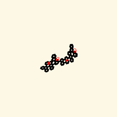 c1ccc(-c2c(-c3c4ccccc4c(-c4ccc(-c5ccc(-c6ccc(-c7c8ccccc8c(-c8cccc9oc%10c%11ccccc%11ccc%10c89)c8ccccc78)cc6)c6c(-c7ccccc7)cccc56)c5oc6c7ccccc7ccc6c45)c4ccccc34)c3ccccc3c3ccccc23)cc1